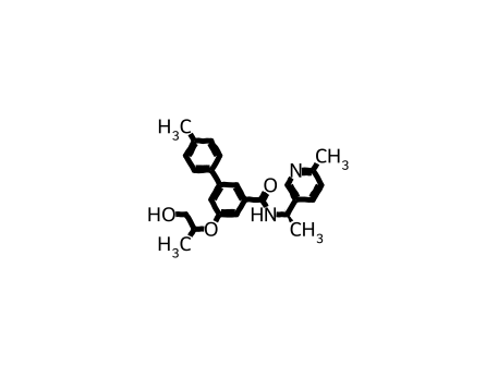 Cc1ccc(-c2cc(OC(C)CO)cc(C(=O)N[C@H](C)c3ccc(C)nc3)c2)cc1